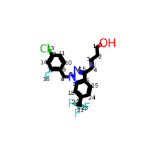 OCC/C=C/c1nn(Cc2ccc(Cl)cc2F)c2cc(C(F)(F)F)ccc12